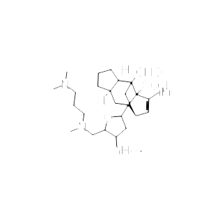 CCCCCCC1CC(C23C[C@@H]4[C@H](C)CC[C@H]4C4(C=O)CC2C=C(C(C)C)C34C(=O)O)OC1CN(C)CCCN(C)C